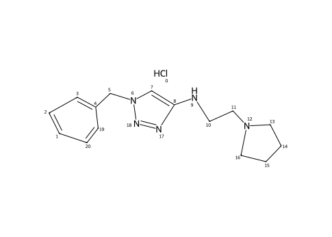 Cl.c1ccc(Cn2cc(NCCN3CCCC3)nn2)cc1